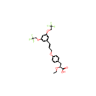 CCO[C@@H](Cc1ccc(OC/C=C/c2cc(OCC(F)(F)F)cc(OCC(F)(F)F)c2)cc1)C(=O)O